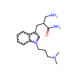 CN(C)CCCn1cc(CC(CN)C(N)=O)c2ccccc21